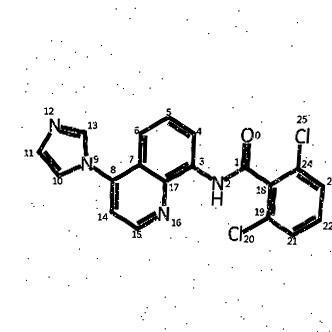 O=C(Nc1cccc2c(-n3ccnc3)ccnc12)c1c(Cl)cccc1Cl